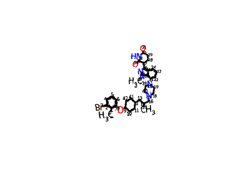 Cc1c(Br)cccc1OC1CCC(CC(C)CN2CCN(c3cccc4c(C5CCC(=O)NC5=O)nn(C)c34)CC2)CC1